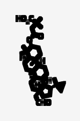 CC(C)(CC(=O)O[C@H]1CC[C@]2(C)[C@H]3CC[C@@H]4[C@H]5[C@H](C6(C)CC6)CC[C@]5(CC=O)CC[C@@]4(C)[C@]3(C)CC[C@H]2C1(C)C)C(=O)O